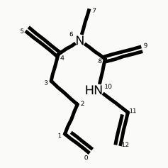 C=CCCC(=C)N(C)C(=C)NC=C